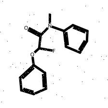 CN(C(=O)C(F)Oc1ccccc1)c1ccccc1